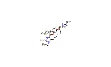 C=C(CCC)/N=C/C=C/C=C/C/C=C\C(CCCCCC)C(/C=C\C(CCCCCC)C(/C=C\C(CCCCCC)NC)/C=C/C=C/C=N/C(=C)CCC)/C=C/C=C/C=N/C(=C)CCC